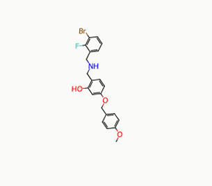 COc1ccc(COc2ccc(CNCc3cccc(Br)c3F)c(O)c2)cc1